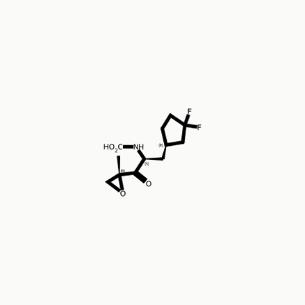 C[C@]1(C(=O)[C@H](C[C@H]2CCC(F)(F)C2)NC(=O)O)CO1